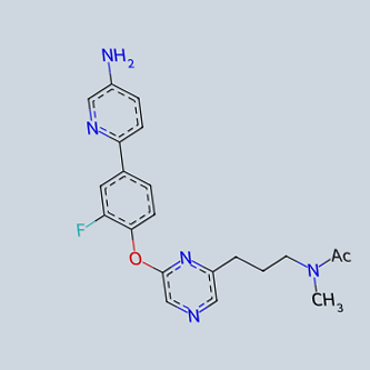 CC(=O)N(C)CCCc1cncc(Oc2ccc(-c3ccc(N)cn3)cc2F)n1